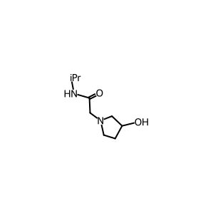 CC(C)NC(=O)CN1CCC(O)C1